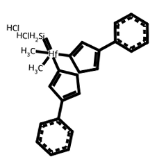 Cl.Cl.[CH3][Hf]([CH3])(=[SiH2])([C]1=CC(c2ccccc2)=CC1)[C]1=CC(c2ccccc2)=CC1